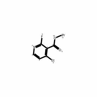 CCc1ccnc(F)c1C(=O)OC(C)C